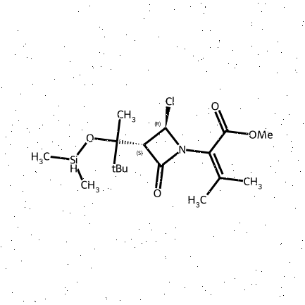 COC(=O)C(=C(C)C)N1C(=O)[C@H](C(C)(O[SiH](C)C)C(C)(C)C)[C@H]1Cl